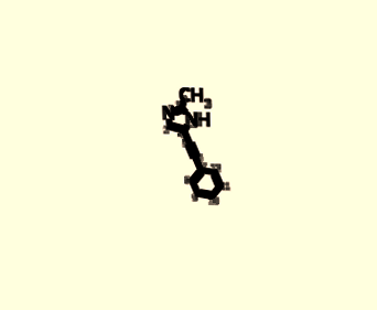 Cc1ncc(C#Cc2ccccc2)[nH]1